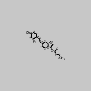 CCCC(=O)Oc1csc2cc(SCc3ccc(Cl)cc3Cl)ccc12